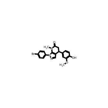 COc1cc(C2CC(=O)N(C)c3c2cnn3-c2ccc(Br)cc2)ccc1O